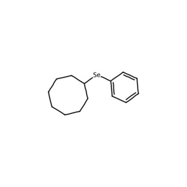 c1ccc([Se]C2CCCCCCC2)cc1